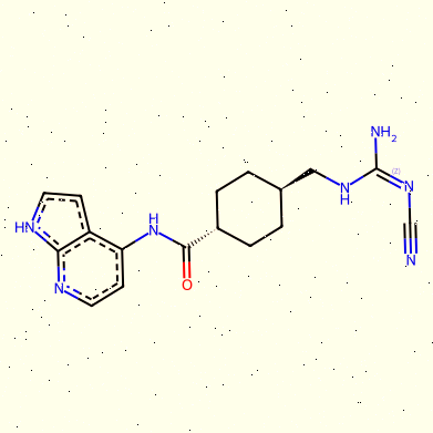 N#C/N=C(/N)NC[C@H]1CC[C@H](C(=O)Nc2ccnc3[nH]ccc23)CC1